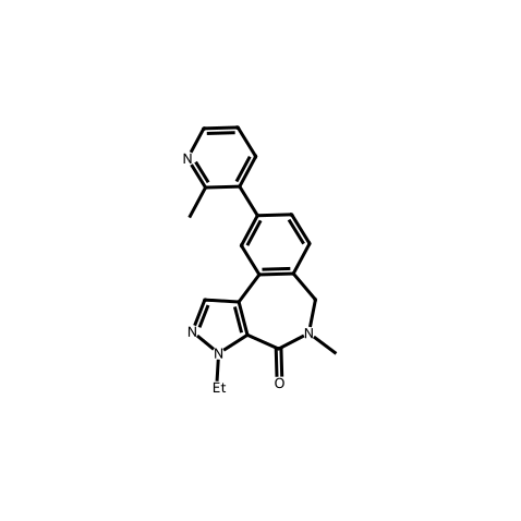 CCn1ncc2c1C(=O)N(C)Cc1ccc(-c3cccnc3C)cc1-2